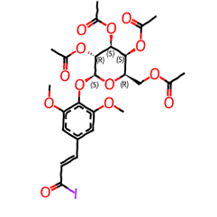 COc1cc(C=CC(=O)I)cc(OC)c1O[C@@H]1O[C@H](COC(C)=O)[C@H](OC(C)=O)[C@H](OC(C)=O)[C@H]1OC(C)=O